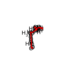 CC(=O)N[C@H]1[C@H]([C@H](O)[C@H](O)CNC(=O)c2ccc(-c3ccccc3)cc2)O[C@@](OCCCSCCNC(=O)c2ccc(C)c(OCCOCCOCCOCCOCCOCCNC(=O)CCCCCN3C(=O)C=CC3=O)c2)(C(=O)O)C[C@@H]1O